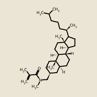 C=C(C)C(=O)N(C)C[C@H]1CC[C@@]2(C)[C@@H](CC[C@@H]3[C@@H]2CC[C@]2(C)C([C@H](C)CCCC(C)C)CC[C@@H]32)C1